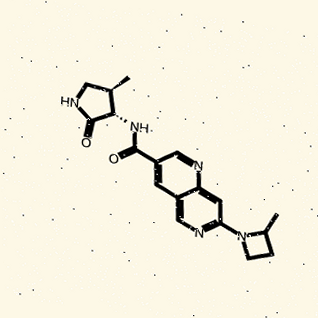 CC1CCN1c1cc2ncc(C(=O)N[C@@H]3C(=O)NC[C@H]3C)cc2cn1